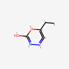 CCC1=C=NN=C(O)O1